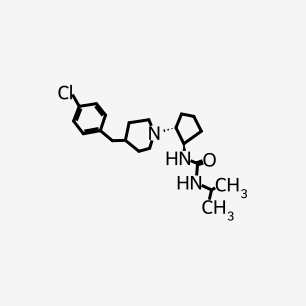 CC(C)NC(=O)N[C@@H]1CCC[C@H]1N1CCC(Cc2ccc(Cl)cc2)CC1